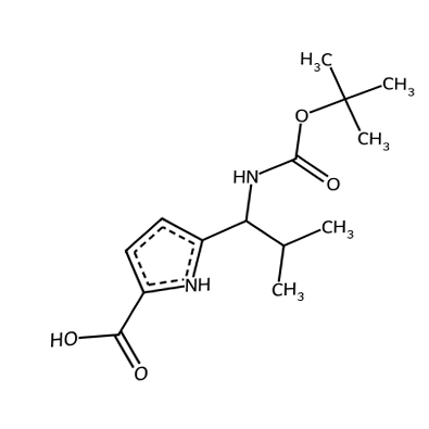 CC(C)C(NC(=O)OC(C)(C)C)c1ccc(C(=O)O)[nH]1